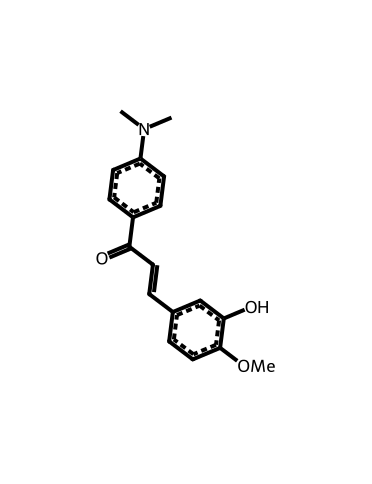 COc1ccc(/C=C/C(=O)c2ccc(N(C)C)cc2)cc1O